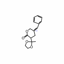 CC1(C2C/C(=C/c3ccccc3)COC2=O)OCCO1